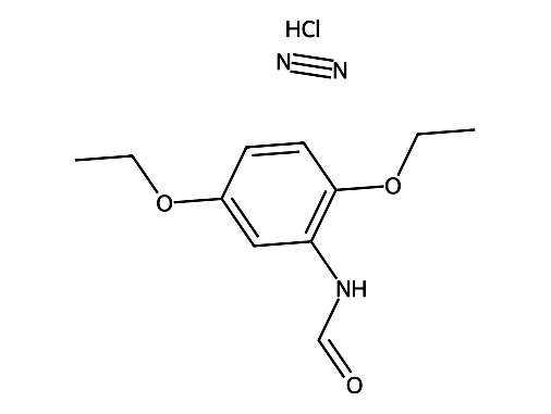 CCOc1ccc(OCC)c(NC=O)c1.Cl.N#N